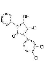 O=C1C(O)=C(c2ccccc2)C(=O)N1c1ccc(Cl)c(Cl)c1